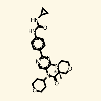 C[C@]12COCCN1c1nc(-c3ccc(NC(=O)NC4CC4)cc3)ncc1N(C1CCOCC1)C2=O